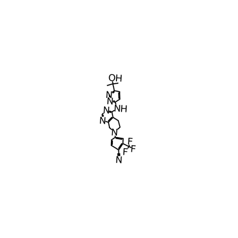 CC(C)(O)c1ccc(Nc2ncnc3c2CCN(c2ccc(C#N)c(C(F)(F)F)c2)C3)nn1